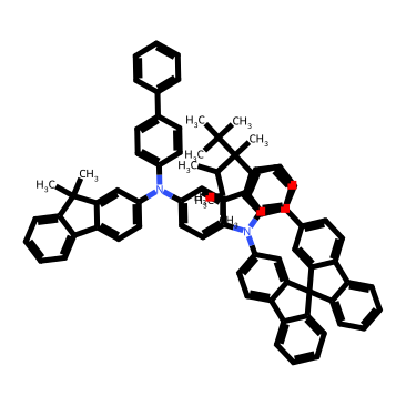 CC(C(C)(C)C)C(C)(c1ccc(-c2ccc3c(c2)C2(c4ccccc4-3)c3ccccc3-c3ccc(-n4c5ccccc5c5cc(N(c6ccc(-c7ccccc7)cc6)c6ccc7c(c6)C(C)(C)c6ccccc6-7)ccc54)cc32)cc1)C(C)(C)C